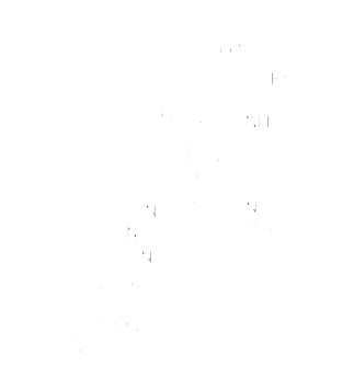 CCC1NC(C2=CC(c3cn(COS(C)(=O)=O)nn3)=CN(C)C2)C(F)(F)CC1OC(C)=O